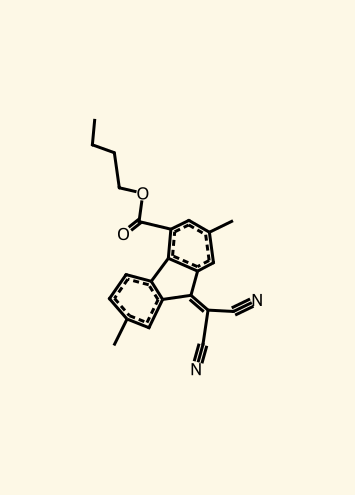 CCCCOC(=O)c1cc(C)cc2c1-c1ccc(C)cc1C2=C(C#N)C#N